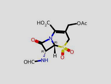 CC(=O)OCC1=C(C(=O)O)N2C(=O)[C@@H](NC=O)[C@H]2S(=O)(=O)C1